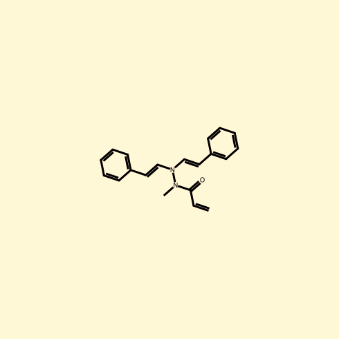 C=CC(=O)N(C)N(C=Cc1ccccc1)C=Cc1ccccc1